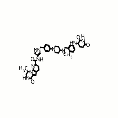 C[C@@H]1CNC(=O)c2cc3ccc(C(=O)Nc4cnn(Cc5ccc(N6CCC(N(C)Cc7cccc(NC8CCC(=O)NC8=O)c7)CC6)cc5)c4)nc3n21